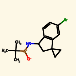 CC(C)(C)[S+]([O-])NC1CC2(CC2)c2cc(Br)ccc21